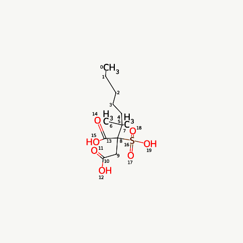 CCCCCC(C)(C)C(CC(=O)O)(C(=O)O)S(=O)(=O)O